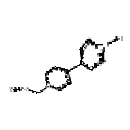 CCCCCCCCCC[n+]1ccc(-c2cc[n+](CC)cc2)cc1